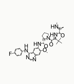 CN[C@@H](C)C(=O)N[C@H](C(=O)N1CCC[C@H]1C(=O)Nc1cc2c(Nc3ccc(F)cc3)ncnc2cc1OC)C(C)(C)C